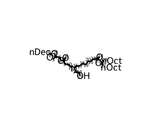 CCCCCCCCCCC1OCC(COC(=O)CCCN(CCO)CCCCCCCC(=O)OC(CCCCCCCC)CCCCCCCC)O1